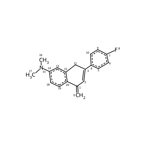 C=C1C=C(c2ccc(F)cc2)Cc2cc(N(C)C)ccc21